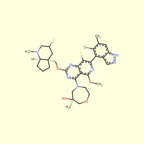 COc1nc(-c2c(Cl)c(C)cc3[nH]ncc23)c(F)c2nc(OC[C@]34CCC[C@H]3N(C)C[C@@H](F)C4)nc(N3CCOC[C@@](C)(O)C3)c12